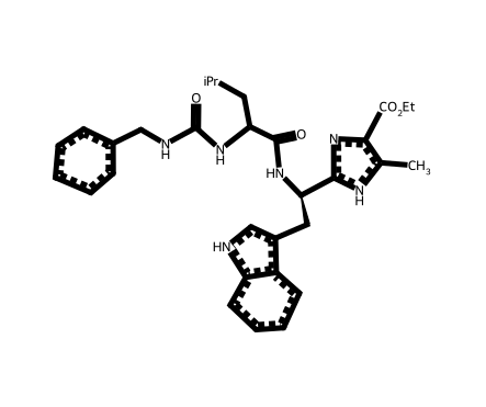 CCOC(=O)c1nc([C@@H](Cc2c[nH]c3ccccc23)NC(=O)C(CC(C)C)NC(=O)NCc2ccccc2)[nH]c1C